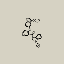 CCOC(=O)c1coc2ccc(Oc3ccncc3C(=O)N3CCN(C4COC4)c4ccccc43)cc12